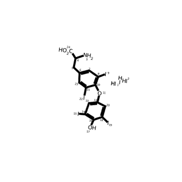 I.I.I.NC(Cc1cc(I)c(Oc2cc(I)c(O)c(I)c2)c(I)c1)C(=O)O